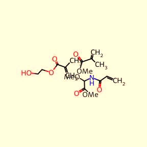 C=C(C)C(=O)OC.C=C(C)C(=O)OCCO.C=CC(=O)NC(OC)C(=O)OC